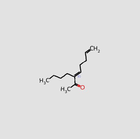 C=CCC/C=C(\CCCC)C(C)=O